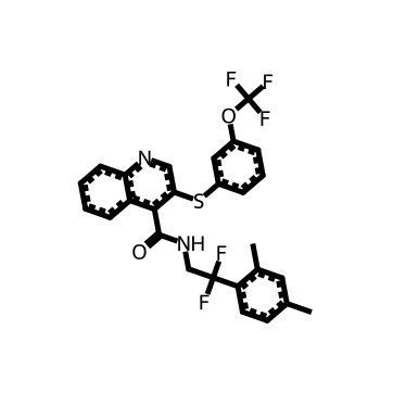 Cc1ccc(C(F)(F)CNC(=O)c2c(Sc3cccc(OC(F)(F)F)c3)cnc3ccccc23)c(C)c1